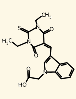 CCN1C(=O)C(=Cc2cn(CC(=O)O)c3ccccc23)C(=O)N(CC)C1=S